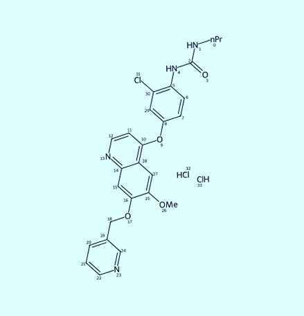 CCCNC(=O)Nc1ccc(Oc2ccnc3cc(OCc4cccnc4)c(OC)cc23)cc1Cl.Cl.Cl